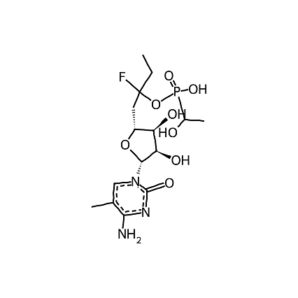 CCC(F)(C[C@H]1O[C@@H](n2cc(C)c(N)nc2=O)[C@H](O)[C@@H]1O)OP(=O)(O)C(C)O